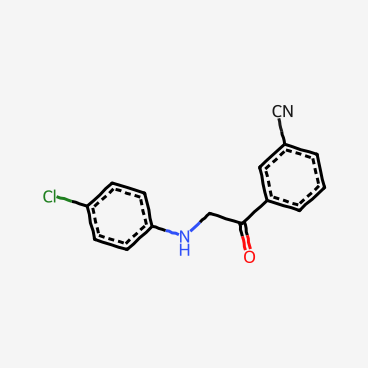 N#Cc1cccc(C(=O)CNc2ccc(Cl)cc2)c1